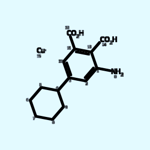 Nc1cc(C2CCCCC2)cc(C(=O)O)c1C(=O)O.[Cu]